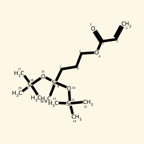 C=CC(=O)OCCC[Si](C)(O[Si](C)(C)C)O[Si](C)(C)C